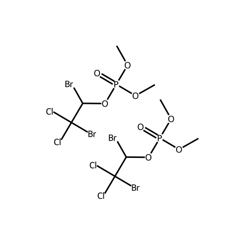 COP(=O)(OC)OC(Br)C(Cl)(Cl)Br.COP(=O)(OC)OC(Br)C(Cl)(Cl)Br